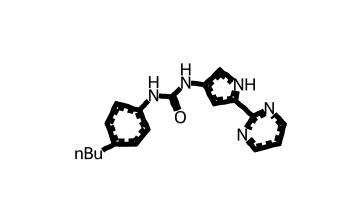 CCCCc1ccc(NC(=O)Nc2c[nH]c(-c3ncccn3)c2)cc1